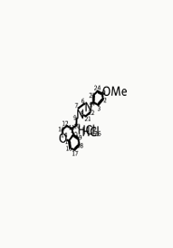 COc1ccc(N2CCN(CCC3CCOc4ccccc43)CC2)cc1.Cl.Cl